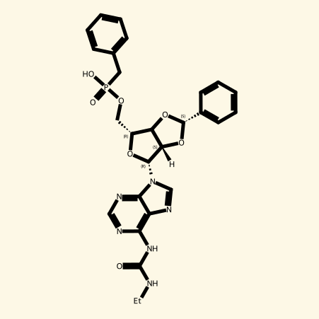 CCNC(=O)Nc1ncnc2c1ncn2[C@@H]1O[C@H](COP(=O)(O)Cc2ccccc2)C2O[C@H](c3ccccc3)O[C@@H]21